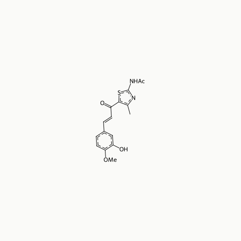 COc1ccc(C=CC(=O)c2sc(NC(C)=O)nc2C)cc1O